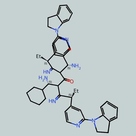 CC[C@H](C(=N)C(C(=O)C(C(=N)[C@@H](CC)c1ccnc(N2CCc3ccccc32)c1)[C@@H](N)C1CCCCC1)[C@@H](N)C1CCCCC1)c1ccnc(N2CCc3ccccc32)c1